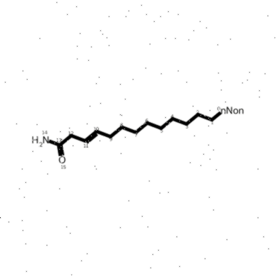 CCCCCCCCCCCCCCCCCCC=CCC(N)=O